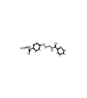 O=C(NCCOc1ccc(C(=S)NO)cc1)c1ccccn1